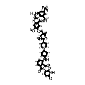 COc1cc2nc(C)nc(N[C@H](C)c3cc(N)cc(C(F)(F)F)c3)c2cc1OCC1(CN(C)C(=O)C2CCN(C3CCC(Nc4cccc5c4C(=O)N(C4CCC(=O)NC4=O)C5=O)CC3)CC2)CC1